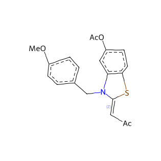 COc1ccc(CN2/C(=C/C(C)=O)Sc3ccc(OC(C)=O)cc32)cc1